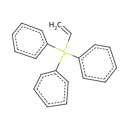 C=CS(c1ccccc1)(c1ccccc1)c1ccccc1